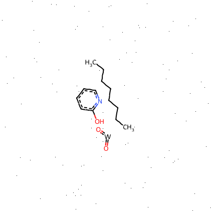 CCCCCCCC.Oc1ccccn1.[O]=[W]=[O]